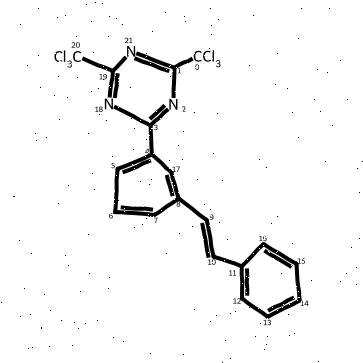 ClC(Cl)(Cl)c1nc(-c2cccc(C=Cc3ccccc3)c2)nc(C(Cl)(Cl)Cl)n1